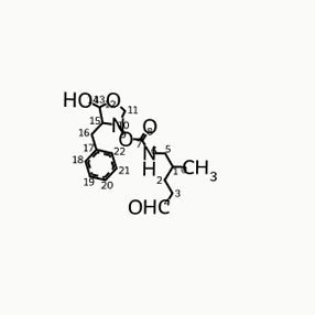 CC(CCC=O)CNC(=O)ON1COC(O)C1Cc1ccccc1